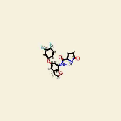 CN1C(=O)CCC1C(=O)Nc1cc(Oc2ccc(F)c(F)c2)cc2c1OCC2